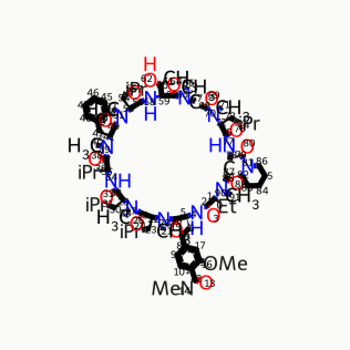 CC[C@H]1C(=O)N[C@H](CCc2ccc(C(=O)NC)c(OC)c2)C(=O)N(C)[C@@H](CC(C)C)C(=O)N(C)[C@@H](CC(C)C)C(=O)N[C@@H](C(C)C)C(=O)N(C)[C@@H](Cc2ccccc2)C(=O)N(C)[C@@H](CC(C)C)C(=O)N[C@@H]([C@@H](C)O)C(=O)N(C)CC(=O)N(C)[C@@H](CC(C)C)C(=O)N[C@H](C(=O)N2CCCCC2)CC(=O)N1C